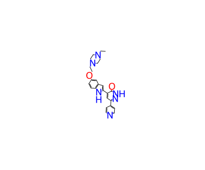 CCN1CCN(CCOc2ccc3[nH]c(-c4cc(-c5ccncc5)n[nH]c4=O)cc3c2)CC1